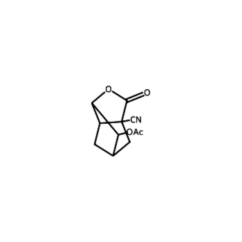 CC(=O)OC1C2CC3C1OC(=O)C3(C#N)C2